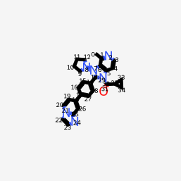 Cc1nccc2c1N(N1CCCC1)C(c1ccc(-c3ccn4ccnc4c3)cc1)N2C(=O)C1CC1